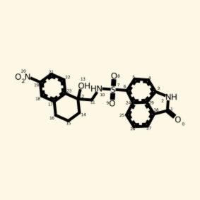 O=C1Nc2ccc(S(=O)(=O)NCC3(O)CCCc4cc([N+](=O)[O-])ccc43)c3cccc1c23